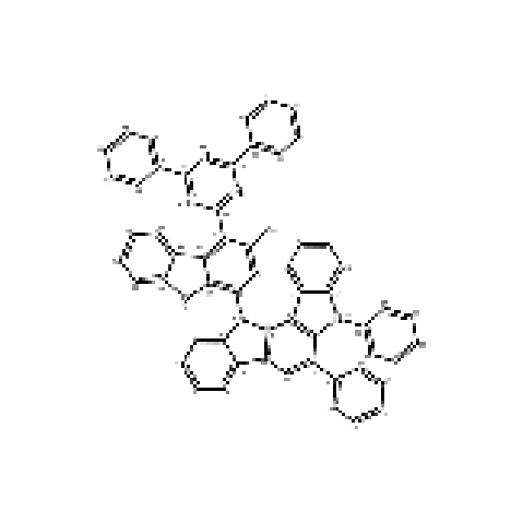 Cc1cc(-n2c3ccccc3c3cc(-c4ccccc4)c4c(c5ccccc5n4-c4ccccc4)c32)c2oc3ccccc3c2c1-c1nc(-c2ccccc2)nc(-c2ccccc2)n1